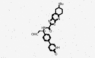 CC(C)(C)C1CCc2nc3sc(C(=O)N[C@H](CC=O)c4ccc(-c5ccc(=O)[nH]c5)cc4)nc3cc2C1